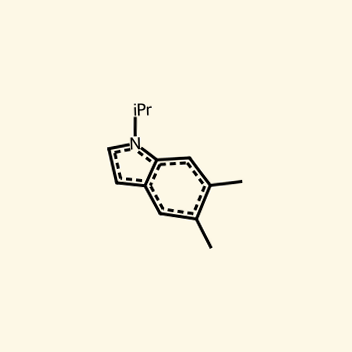 Cc1cc2ccn(C(C)C)c2cc1C